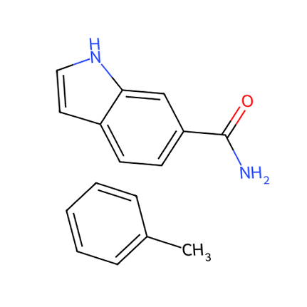 Cc1ccccc1.NC(=O)c1ccc2cc[nH]c2c1